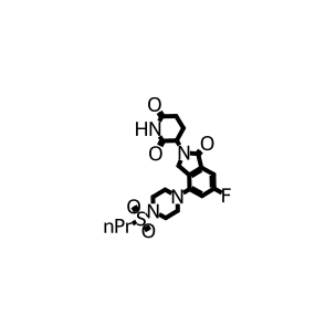 CCCS(=O)(=O)N1CCN(c2cc(F)cc3c2CN(C2CCC(=O)NC2=O)C3=O)CC1